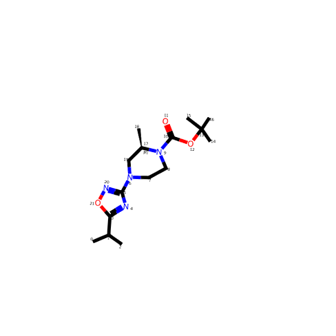 CC(C)c1nc(N2CCN(C(=O)OC(C)(C)C)[C@H](C)C2)no1